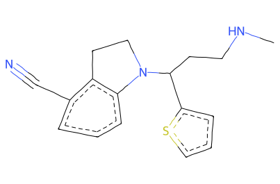 CNCCC(c1cccs1)N1CCc2c(C#N)cccc21